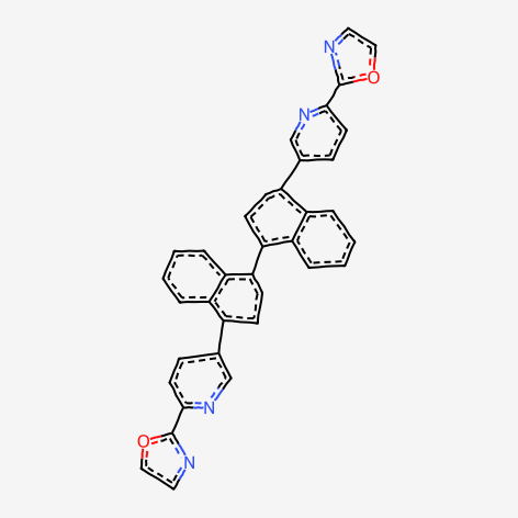 c1ccc2c(-c3ccc(-c4ccc(-c5ncco5)nc4)c4ccccc34)ccc(-c3ccc(-c4ncco4)nc3)c2c1